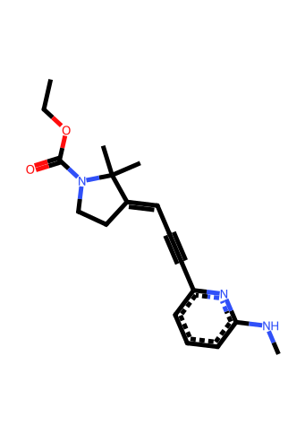 CCOC(=O)N1CC/C(=C\C#Cc2cccc(NC)n2)C1(C)C